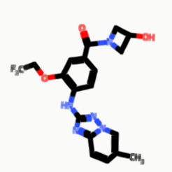 Cc1ccc2nc(Nc3ccc(C(=O)N4CC(O)C4)cc3OCC(F)(F)F)nn2c1